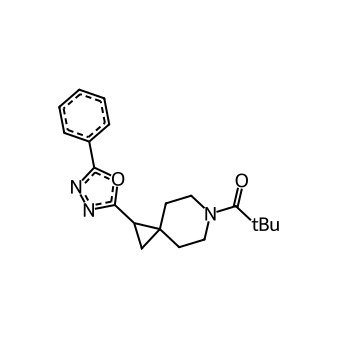 CC(C)(C)C(=O)N1CCC2(CC1)CC2c1nnc(-c2ccccc2)o1